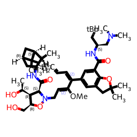 C=C/C=C(\C(=C\CN1O[C@@H](CO)[C@@H]([C@H](C)O)[C@H]1C(=O)N[C@H]1C[C@H]2C[C@@H]([C@@H]1C)C2(C)C)OC)c1cc2c(c(C(=O)N[C@H](CN(C)C)CC(C)(C)C)c1)OC(C)(C)C2